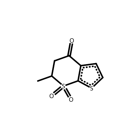 CC1CC(=O)c2ccsc2S1(=O)=O